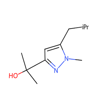 CC(C)Cc1cc(C(C)(C)O)nn1C